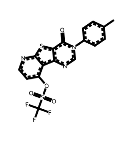 Cc1ccc(-n2cnc3c(sc4nccc(OS(=O)(=O)C(F)(F)F)c43)c2=O)cc1